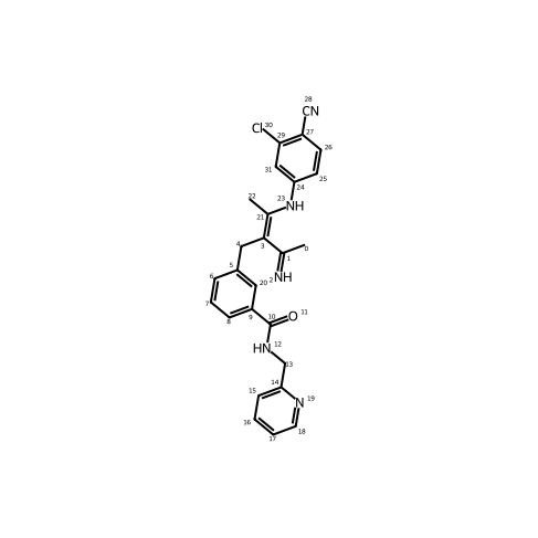 CC(=N)/C(Cc1cccc(C(=O)NCc2ccccn2)c1)=C(/C)Nc1ccc(C#N)c(Cl)c1